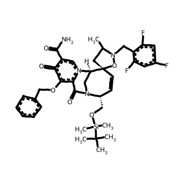 CC1C[C@]2(C=C[C@H](CO[Si](C)(C)C(C)(C)C)N3C[C@H]2n2cc(C(N)=O)c(=O)c(OCc4ccccc4)c2C3=O)ON1Cc1c(F)cc(F)cc1F